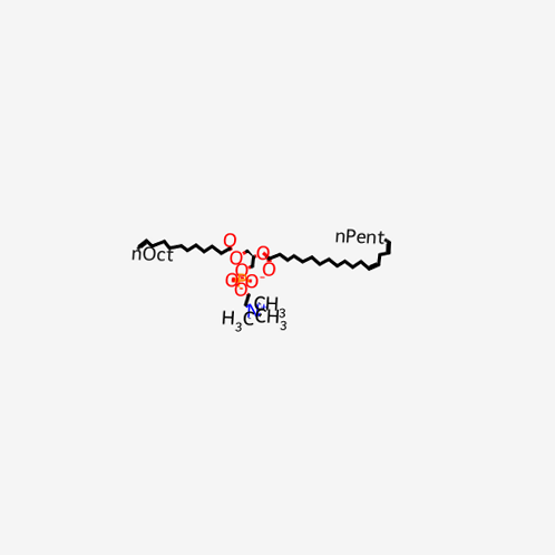 CCCCC/C=C\C/C=C\CCCCCCCCCCCC(=O)O[C@H](COC(=O)CCCCCCCCC/C=C\CCCCCCCC)COP(=O)([O-])OCC[N+](C)(C)C